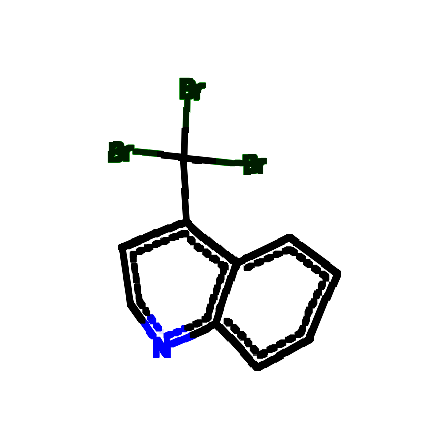 BrC(Br)(Br)c1ccnc2ccccc12